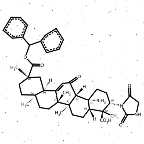 C[C@]1(C(=O)OC(c2ccccc2)c2ccccc2)CC[C@]2(C)CC[C@]3(C)C(=CC(=O)[C@@H]4[C@@]5(C)CC[C@H](N6C(=O)CNC6=O)[C@@](C)(C(=O)O)[C@@H]5CC[C@]43C)[C@@H]2C1